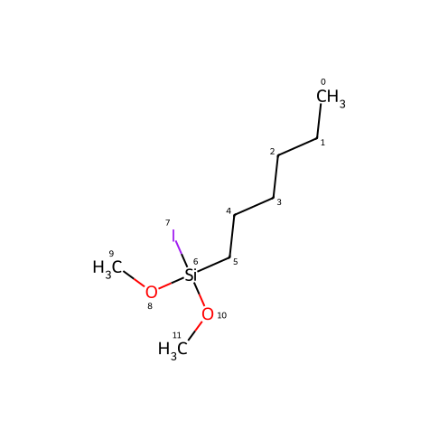 CCCCCC[Si](I)(OC)OC